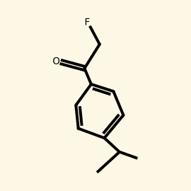 CC(C)c1ccc(C(=O)CF)cc1